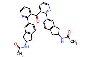 CC(=O)NC1Cc2ccc(-c3ncccc3C(=O)c3cccnc3-c3ccc4c(c3)CC(NC(C)=O)C4)cc2C1